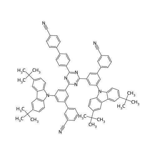 CC(C)(C)c1ccc2c(c1)c1cc(C(C)(C)C)ccc1n2-c1cc(-c2cccc(C#N)c2)cc(-c2nc(-c3ccc(-c4ccc(C#N)cc4)cc3)nc(-c3cc(-c4cccc(C#N)c4)cc(-n4c5ccc(C(C)(C)C)cc5c5cc(C(C)(C)C)ccc54)c3)n2)c1